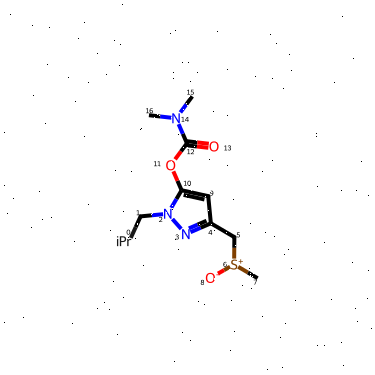 CC(C)Cn1nc(C[S+](C)[O-])cc1OC(=O)N(C)C